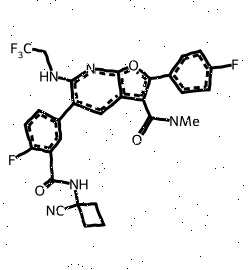 CNC(=O)c1c(-c2ccc(F)cc2)oc2nc(NCC(F)(F)F)c(-c3ccc(F)c(C(=O)NC4(C#N)CCC4)c3)cc12